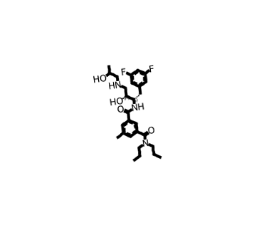 CCCN(CCC)C(=O)c1cc(C)cc(C(=O)N[C@@H](Cc2cc(F)cc(F)c2)[C@H](O)CNCC(C)O)c1